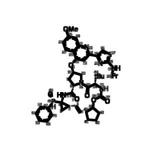 C=C[C@@H]1C[C@]1(NC(=O)[C@@H]1C[C@@H](Oc2cc(-c3csc(NC(C)C)n3)nc3cc(OC)ccc23)CN1C(=O)[C@@H](NC(=O)OC1CCCC1)C(C)(C)C)[PH](=O)c1ccccc1